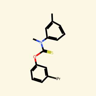 Cc1cccc(N(C)C(=S)Oc2cccc(C(C)C)c2)c1